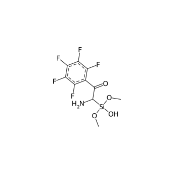 CO[Si](O)(OC)C(N)C(=O)c1c(F)c(F)c(F)c(F)c1F